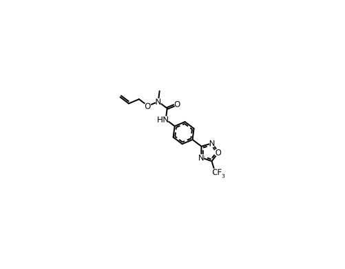 C=CCON(C)C(=O)Nc1ccc(-c2noc(C(F)(F)F)n2)cc1